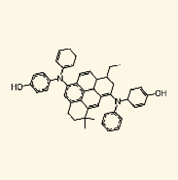 CCC1CC(N(c2ccccc2)C2C=CC(O)=CC2)=C2C=C3c4c(cc(N(C5=CCCC=C5)c5ccc(O)cc5)c5c4C2C1C=C5)CCC3(C)C